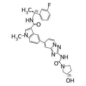 C[C@H](NC(=O)c1cn(C)c2ccc(-c3ccn4nc(NC(=O)N5CC[C@H](O)C5)nc4c3)cc12)c1cccc(F)c1